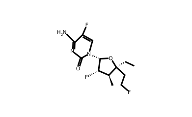 CC[C@@]1(CCF)O[C@@H](n2cc(F)c(N)nc2=O)[C@@H](F)[C@@H]1C